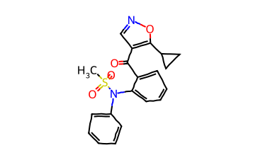 CS(=O)(=O)N(c1ccccc1)c1ccccc1C(=O)c1cnoc1C1CC1